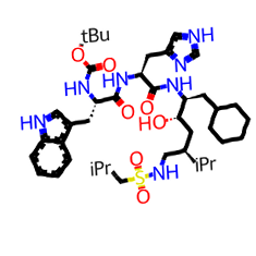 CC(C)CS(=O)(=O)NC[C@@H](C[C@H](O)[C@H](CC1CCCCC1)NC(=O)[C@H](Cc1c[nH]cn1)NC(=O)[C@H](Cc1c[nH]c2ccccc12)NC(=O)OC(C)(C)C)C(C)C